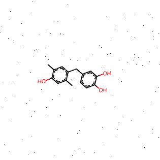 Cc1cc(Cc2ccc(O)c(O)c2)c(C)cc1O